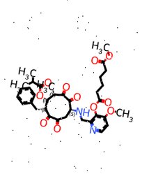 COC(=O)CCCCC(=O)Oc1c(OC)ccnc1CN[C@H]1CC(=O)C(=O)[C@H](Cc2ccccc2)[C@H](OC(=O)C(C)C)[C@H](C)C(=O)C1=O